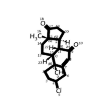 C[C@]12CCC(Cl)CC1=CC(=O)[C@@H]1[C@H]2CC[C@]2(C)C(=O)CC[C@@H]12